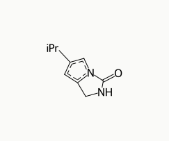 CC(C)c1cc2n(c1)C(=O)NC2